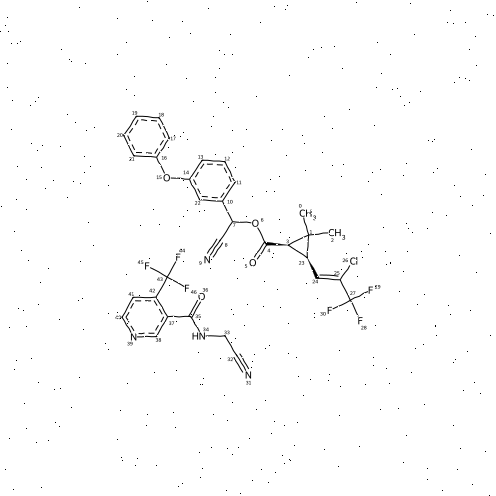 CC1(C)[C@H](C(=O)OC(C#N)c2cccc(Oc3ccccc3)c2)[C@@H]1/C=C(\Cl)C(F)(F)F.N#CCNC(=O)c1cnccc1C(F)(F)F